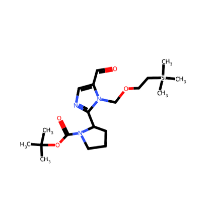 CC(C)(C)OC(=O)N1CCCC1c1ncc(C=O)n1COCC[Si](C)(C)C